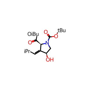 CC(C)/C=C1/[C@H](O)CN(C(=O)OC(C)(C)C)[C@@H]1C(=O)OCC(C)C